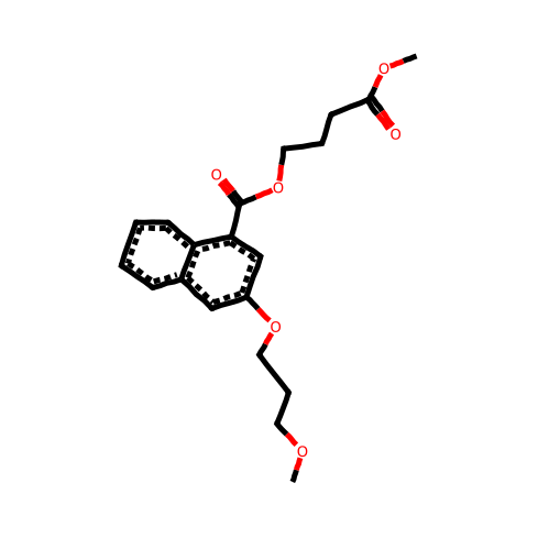 COCCCOc1cc(C(=O)OCCCC(=O)OC)c2ccccc2c1